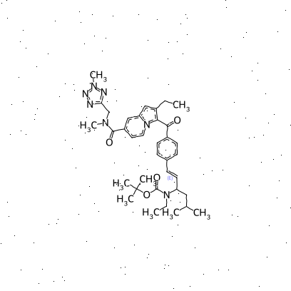 CCc1cc2cc(C(=O)N(C)Cc3nnn(C)n3)ccn2c1C(=O)c1ccc(/C=C/C(CC(C)C)N(CC)C(=O)OC(C)(C)C)cc1